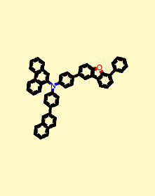 c1ccc(-c2cccc3c2oc2ccc(-c4ccc(N(c5ccc(-c6ccc7ccccc7c6)cc5)c5cc6ccccc6c6ccccc56)cc4)cc23)cc1